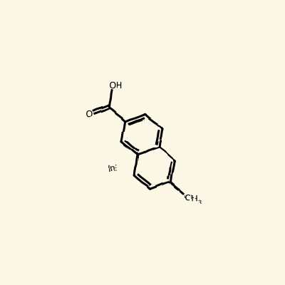 Cc1ccc2cc(C(=O)O)ccc2c1.[In]